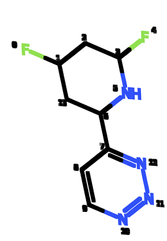 FC1CC(F)NC(c2ccnnn2)C1